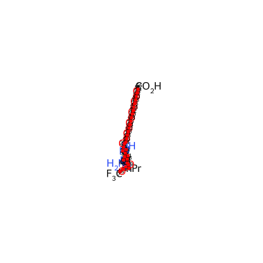 CCCN(OCCOCC(F)(F)F)C(=O)C1=Cc2ccc(-c3cnc(CNC(=O)CCOCCOCCOCCOCCOCCOCCOCCOCCOCCOCCC(=O)O)nc3)cc2N=C(N)C1